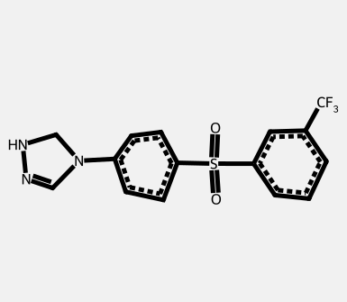 O=S(=O)(c1ccc(N2C=NNC2)cc1)c1cccc(C(F)(F)F)c1